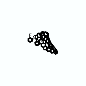 COc1ccccc1C1N(c2ccccc2F)CC2c3cc4c5c6c(cc7cc8c9c%10c%11c%12c%13c%14c%15c(c%16c3c5c(c%16%13)c3c6c7c9c%123)C21CC%15C=C(C=C%10C8)C%14%11)C4